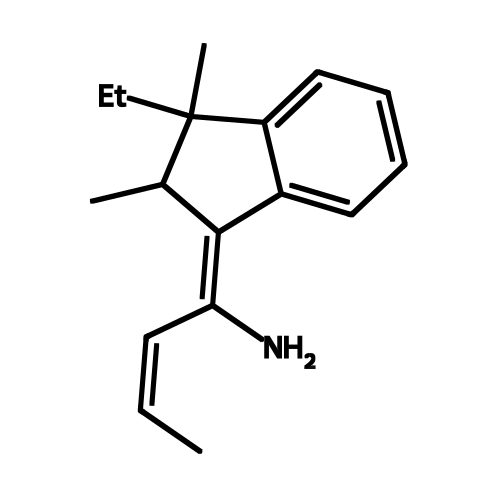 C/C=C\C(N)=C1\c2ccccc2C(C)(CC)C1C